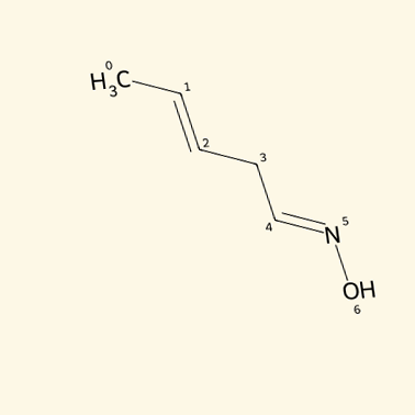 CC=CCC=NO